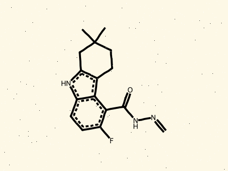 C=NNC(=O)c1c(F)ccc2[nH]c3c(c12)CCC(C)(C)C3